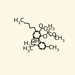 C=C(C)c1ccc(C)cc1-c1c(O)cc(CCCCC)c2c1OC(C)(COC)OC2=O